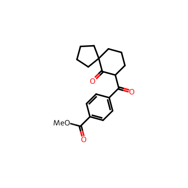 COC(=O)c1ccc(C(=O)C2CCCC3(CCCC3)C2=O)cc1